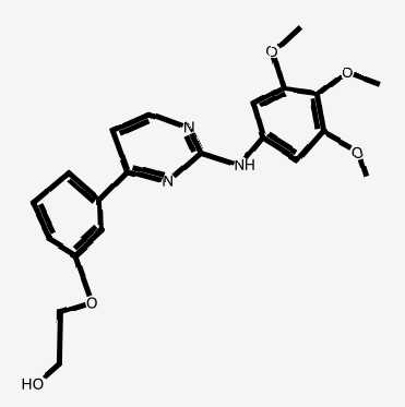 COc1cc(Nc2nccc(-c3cccc(OCCO)c3)n2)cc(OC)c1OC